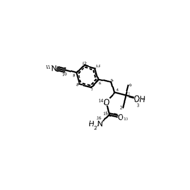 CC(C)(O)C(Cc1ccc(C#N)cc1)OC(N)=O